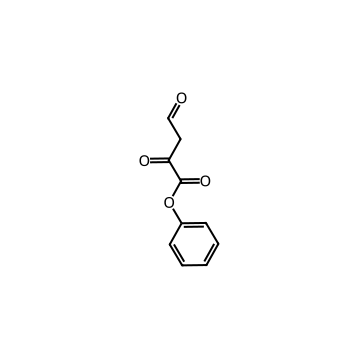 O=CCC(=O)C(=O)Oc1ccccc1